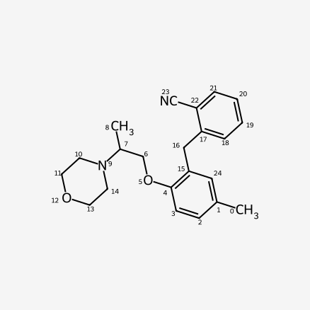 Cc1ccc(OCC(C)N2CCOCC2)c(Cc2ccccc2C#N)c1